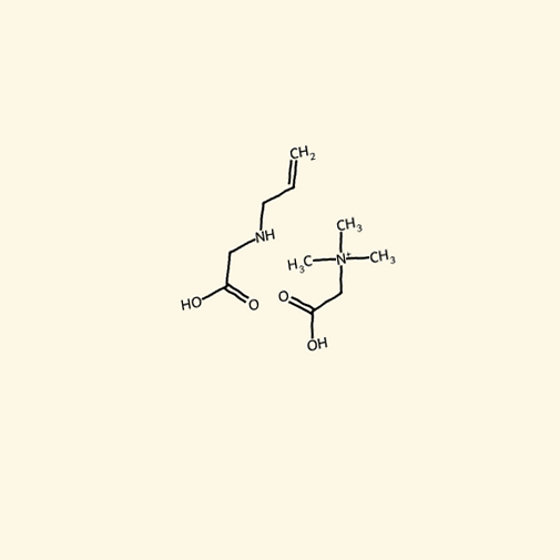 C=CCNCC(=O)O.C[N+](C)(C)CC(=O)O